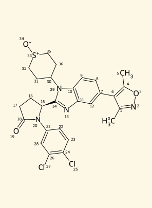 Cc1noc(C)c1-c1ccc2c(c1)nc([C@@H]1CCC(=O)N1c1ccc(Cl)c(Cl)c1)n2C1CC[S+]([O-])CC1